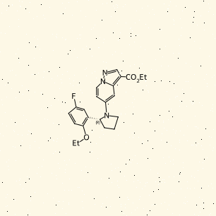 CCOC(=O)c1cnn2ccc(N3CCC[C@@H]3c3cc(F)ccc3OCC)cc12